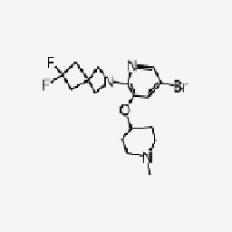 CN1CCC(Oc2cc(Br)cnc2N2CC3(C2)CC(F)(F)C3)CC1